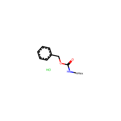 CCCCCCNC(=O)OCc1ccccc1.Cl